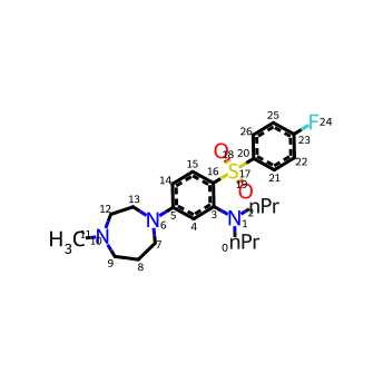 CCCN(CCC)c1cc(N2CCCN(C)CC2)ccc1S(=O)(=O)c1ccc(F)cc1